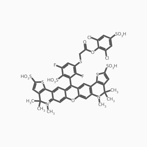 CN1c2cc3c(cc2-c2sc(S(=O)(=O)O)cc2C1(C)C)C(c1c(F)c(SCC(=O)Oc2c(Cl)cc(S(=O)(=O)O)cc2Cl)cc(F)c1S(=O)(=O)O)=c1cc2c(cc1O3)=[N+](C)C(C)(C)c1cc(S(=O)(=O)O)sc1-2